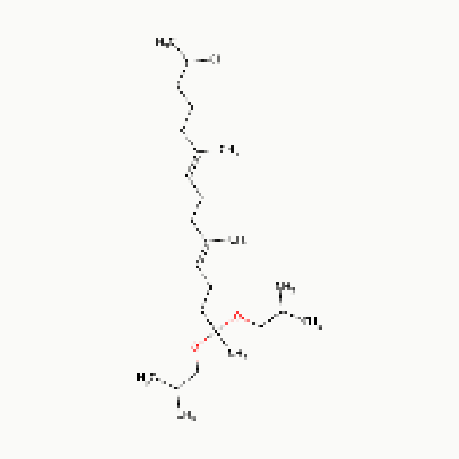 C/C(=C\CCC(C)(OCC(C)C)OCC(C)C)CC/C=C(\C)CCCC(C)C